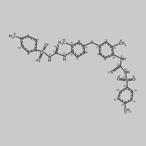 Cc1ccc(S(=O)(=O)NC(=S)Nc2ccc(Cc3ccc(NC(=S)NS(=O)(=O)c4ccc(C)cc4)c(C)c3)cc2C)cc1